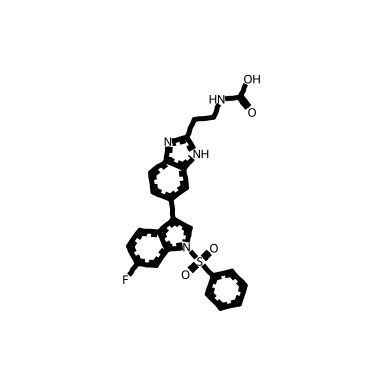 O=C(O)NCCc1nc2ccc(-c3cn(S(=O)(=O)c4ccccc4)c4cc(F)ccc34)cc2[nH]1